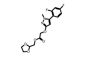 Cn1nc(OCC(=O)OCC2OCCO2)cc1-c1ccc(F)cc1F